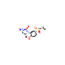 CS(=O)(=O)c1ccc2c(c1)N1C(=O)NCC1CO2